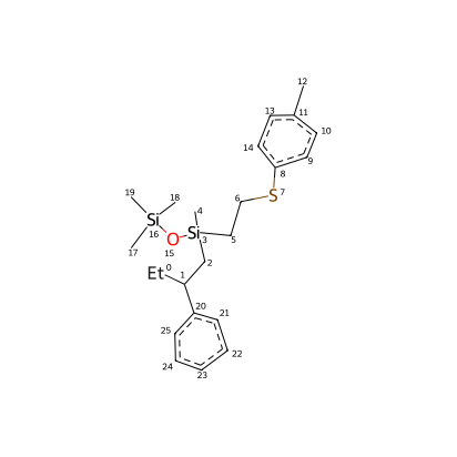 CCC(C[Si](C)(CCSc1ccc(C)cc1)O[Si](C)(C)C)c1ccccc1